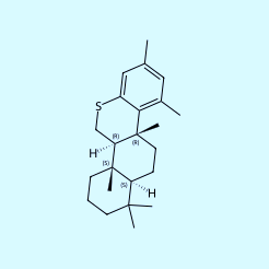 Cc1cc(C)c2c(c1)SC[C@@H]1[C@@]3(C)CCCC(C)(C)[C@@H]3CC[C@@]21C